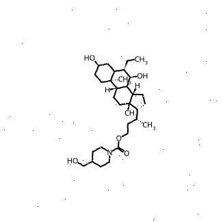 CC[C@@H]1C2C[C@H](O)CC[C@]2(C)[C@H]2CCC3(C)[C@@H]([C@H](C)CCOC(=O)N4CCC(CO)CC4)CC[C@H]3C2[C@@H]1O